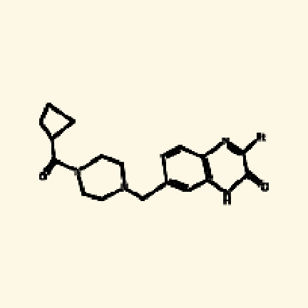 CCc1nc2ccc(CN3CCN(C(=O)C4CCC4)CC3)cc2[nH]c1=O